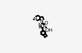 CN1CCC2CCN(c3nnc(-c4ccc5c(c4O)CC5)n(C)c3=O)C2C1